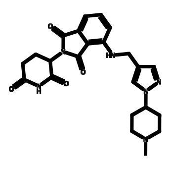 CN1CCC(n2cc(CNc3cccc4c3C(=O)N(C3CCC(=O)NC3=O)C4=O)cn2)CC1